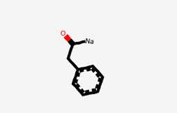 O=[C]([Na])Cc1ccccc1